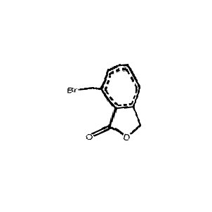 O=C1OCc2cccc(Br)c21